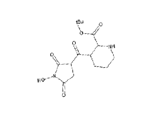 CC(C)(C)OC(=O)C1NCCCC1C(=O)C1CC(=O)N(O)C1=O